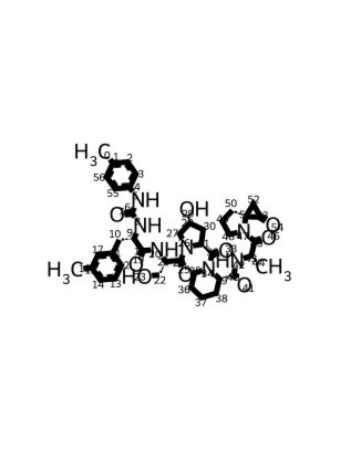 Cc1ccc(NC(=O)N[C@@H](Cc2cccc(C)c2)C(=O)N[C@@H](CO)C(=O)N2C[C@H](O)C[C@H]2C(=O)N2CCCC[C@H]2C(=O)N[C@@H](C)C(=O)N2CCC[C@@]23CC3=O)cc1